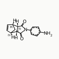 Nc1ccc(N2C(=O)[C@@H]3[C@H](C2=O)[C@@H]2C=C[C@H]3C2)cc1